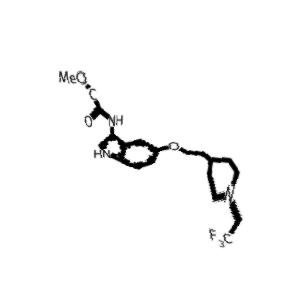 COCC(=O)Nc1c[nH]c2ccc(OCCC3CCN(CC(F)(F)F)CC3)cc12